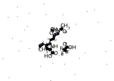 C/C=C\[C@@H]1C[C@H](C(=O)O)N[C@@H]1CC/C(=C/NC(C)=O)OC.O=C(O)C(F)(F)F